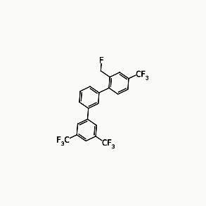 FCc1cc(C(F)(F)F)ccc1-c1cccc(-c2cc(C(F)(F)F)cc(C(F)(F)F)c2)c1